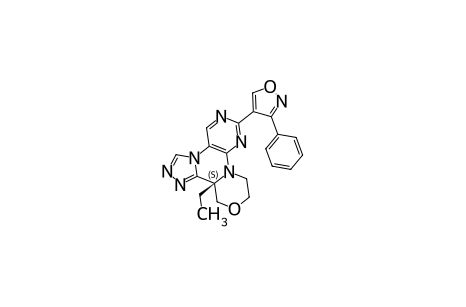 CC[C@]12COCCN1c1nc(-c3conc3-c3ccccc3)ncc1-n1cnnc12